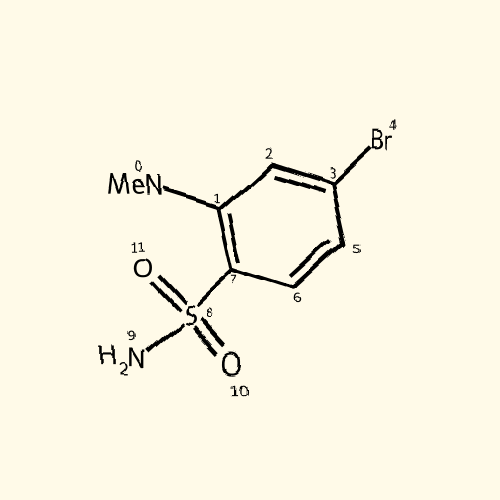 CNc1cc(Br)ccc1S(N)(=O)=O